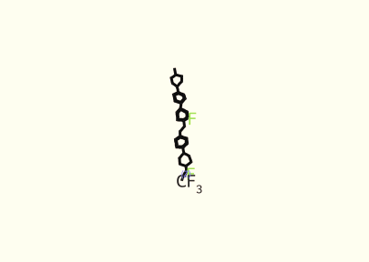 CC1CCC(c2ccc(-c3ccc(CCc4ccc(C5CCC(/C(F)=C/C(F)(F)F)CC5)cc4)c(F)c3)cc2)CC1